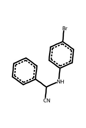 N#CC(Nc1ccc(Br)cc1)c1ccccc1